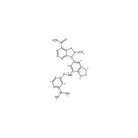 CC1Cc2c(C(N)=O)cccc2C1c1nc2c(c(NCc3cccc(B(O)O)c3)n1)OCC2